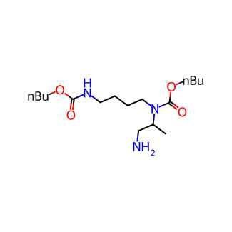 CCCCOC(=O)NCCCCN(C(=O)OCCCC)C(C)CN